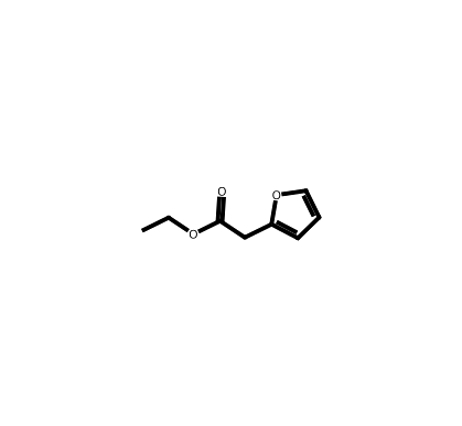 CCOC(=O)Cc1ccco1